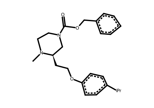 CC(C)c1ccc(OCC[C@@H]2CN(C(=O)OCc3ccccc3)CCN2C)cc1